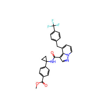 COC(=O)c1ccc(C2(NC(=O)c3cnn4cccc(Cc5ccc(C(F)(F)F)cc5)c34)CC2)cc1